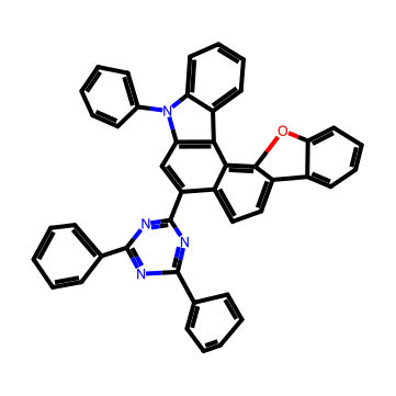 c1ccc(-c2nc(-c3ccccc3)nc(-c3cc4c(c5ccccc5n4-c4ccccc4)c4c3ccc3c5ccccc5oc34)n2)cc1